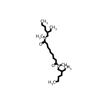 CCCCC(CC)CN(C)C(=O)CCCCCCCC(=O)N(C)CC(CC)CCCC